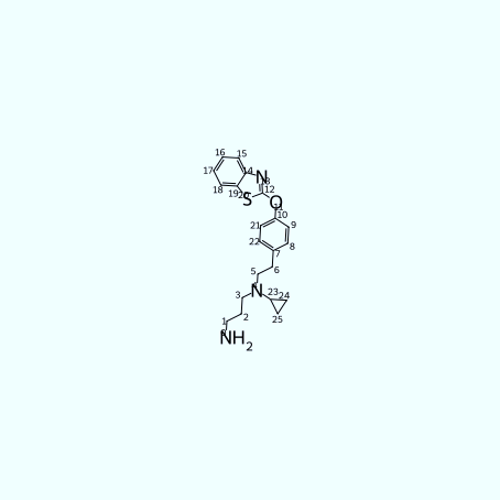 NCCCN(CCc1ccc(Oc2nc3ccccc3s2)cc1)C1CC1